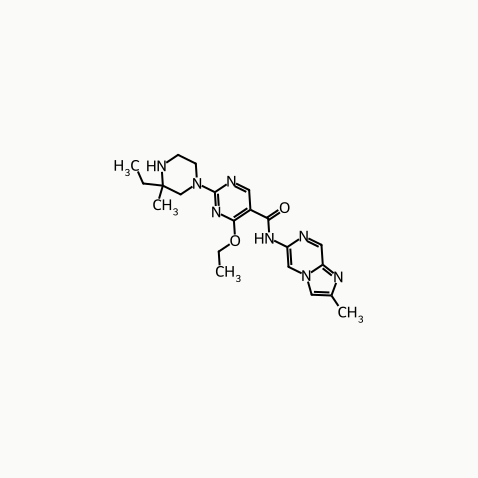 CCOc1nc(N2CCNC(C)(CC)C2)ncc1C(=O)Nc1cn2cc(C)nc2cn1